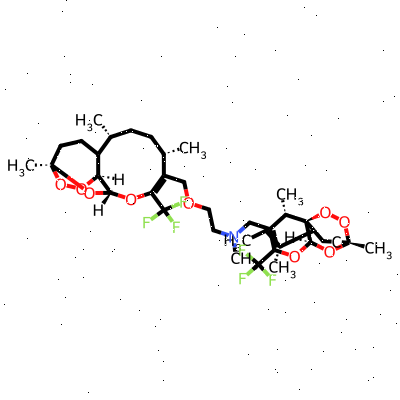 CC[C@@H](C)C1CC[C@]2(C)OO[C@]13[C@H](OC(C(F)(F)F)=C(CN(C)CCOC/C1=C(\C(F)(F)F)O[C@@H]4O[C@]5(C)CCC([C@H](C)CC[C@@H]1C)[C@@H]4OO5)[C@@H]3C)O2